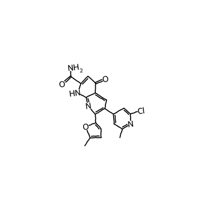 Cc1cc(-c2cc3c(=O)cc(C(N)=O)[nH]c3nc2-c2ccc(C)o2)cc(Cl)n1